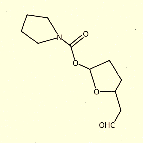 O=CCC1CCC(OC(=O)N2CCCC2)O1